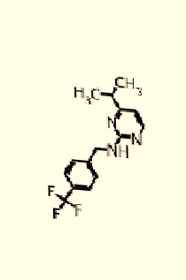 CC(C)c1ccnc(NCc2ccc(C(F)(F)F)cc2)n1